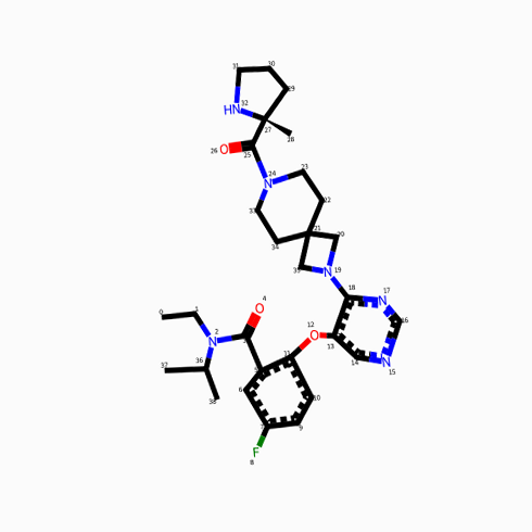 CCN(C(=O)c1cc(F)ccc1Oc1cncnc1N1CC2(CCN(C(=O)[C@@]3(C)CCCN3)CC2)C1)C(C)C